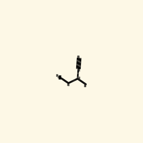 C#CC(C)C[S]